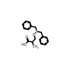 CC(CON(Cc1ccccc1)Cc1ccccc1)C(=O)O